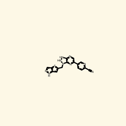 N#Cc1ccc(-c2cnc3c(n2)N(Cc2cc4[nH]ncc4s2)NN3)cn1